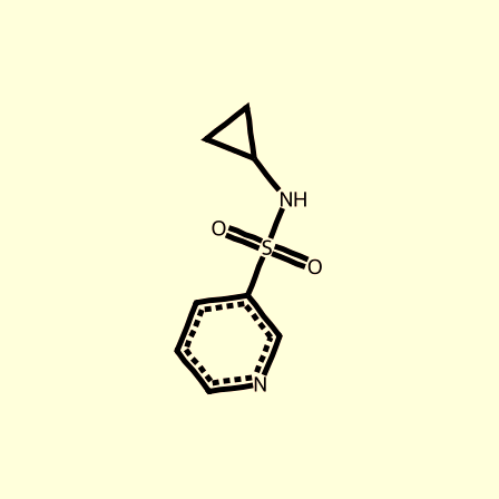 O=S(=O)(NC1CC1)c1cccnc1